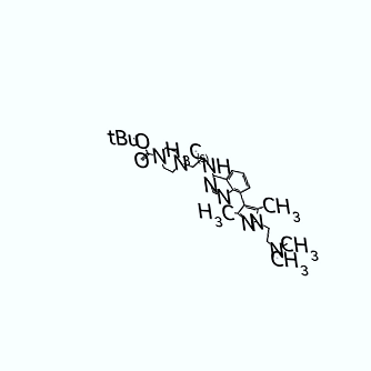 Cc1nn(CCN(C)C)c(C)c1-c1cccc2c(N[C@@H](C)CN3CCN(C(=O)OC(C)(C)C)CC3)ncnc12